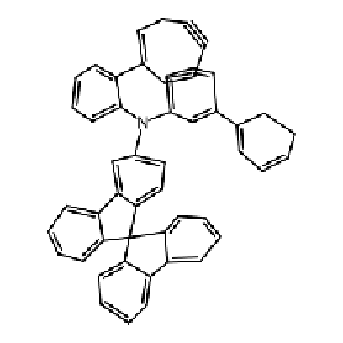 C1#CCC=C(c2ccccc2N(c2cccc(C3=CC=CCC3)c2)c2ccc3c(c2)-c2ccccc2C32c3ccccc3-c3ccccc32)C=C1